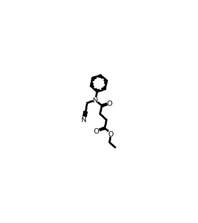 CCOC(=O)CCC(=O)N(CC#N)c1ccccc1